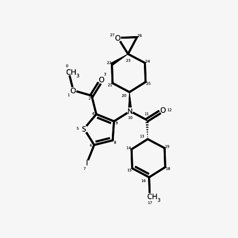 COC(=O)c1sc(I)cc1N(C(=O)[C@H]1CC=C(C)CC1)[C@H]1CC[C@]2(CC1)CO2